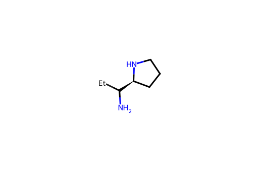 CCC(N)[C@@H]1CCCN1